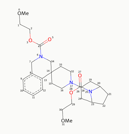 COCCOC(=O)N1Cc2ccccc2C2(CCN(C3CC4CCC(C3)N4C(=O)OCCOC)CC2)C1